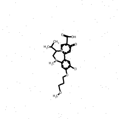 COCCCOc1cc2c(cc1Cl)-c1cc(=O)c(C(=O)O)cn1C(C(C)C)CN2C